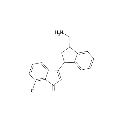 NCC1CC(c2c[nH]c3c(Cl)cccc23)c2ccccc21